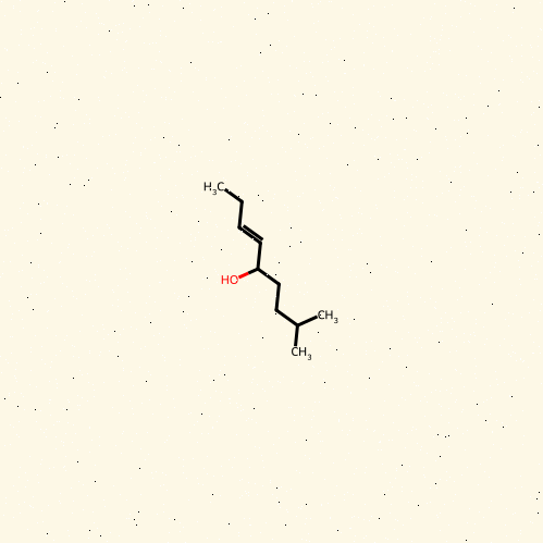 CCC=CC(O)CCC(C)C